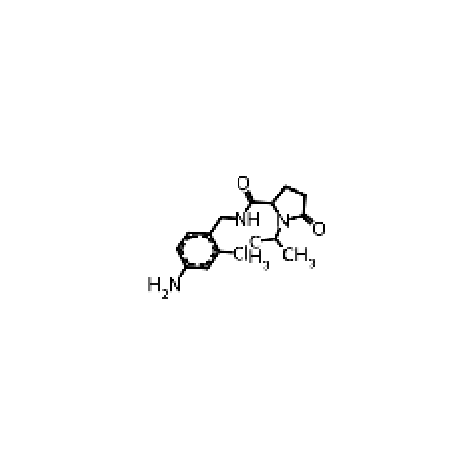 CC(C)N1C(=O)CCC1C(=O)NCc1ccc(N)cc1Cl